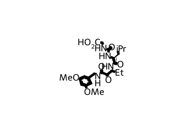 CCC(NC(=O)[C@H](CC(C)C)NC(=O)NCC(=O)O)C(=O)C(=O)NCc1cc(OC)cc(OC)c1